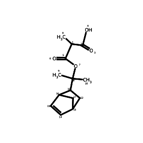 CC(C(=O)O)C(=O)OC(C)(C)C1CC2C=CC1C2